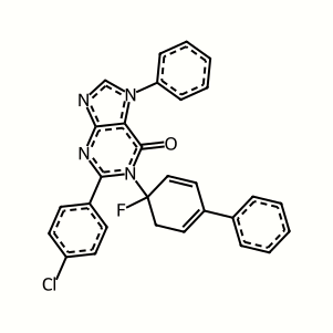 O=c1c2c(ncn2-c2ccccc2)nc(-c2ccc(Cl)cc2)n1C1(F)C=CC(c2ccccc2)=CC1